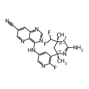 C[C@]1(C(F)F)C[C@@](C)(c2cc(Nc3ncnc4cc(C#N)cnc34)cnc2F)N=C(N)S1